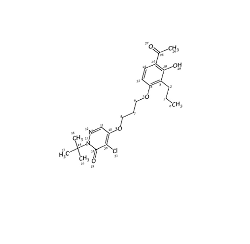 CCCc1c(OCCCOc2cnn(C(C)(C)C)c(=O)c2Cl)ccc(C(C)=O)c1O